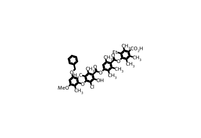 CCc1c(C)c(C(=O)O)c(C)c(C)c1OC(=O)c1c(C)cc(OC(=O)c2c(C)c(C)c(Oc3cc(OCc4ccccc4)cc(OC)c3C)c(Cl)c2O)c(C)c1C